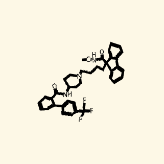 CCNC(=O)C1(CCCCN2CCC(NC(=O)c3ccccc3-c3ccc(C(F)(F)F)cc3)CC2)c2ccccc2-c2ccccc21